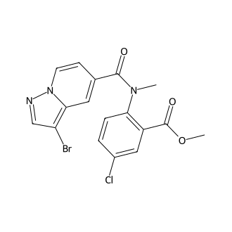 COC(=O)c1cc(Cl)ccc1N(C)C(=O)c1ccn2ncc(Br)c2c1